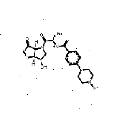 CC(C)N1CCN(c2ccc(C(=O)NC(C(=O)N3C[C@@H](O)[C@H]4OCC(=O)[C@H]43)C(C)(C)C)cc2)CC1